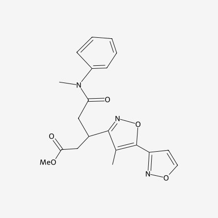 COC(=O)CC(CC(=O)N(C)c1ccccc1)c1noc(-c2ccon2)c1C